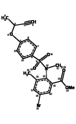 C#CC(C)Oc1ccc(S(=O)(=O)N(C)c2c(C)cc(Br)cc2C(=O)OC)cc1